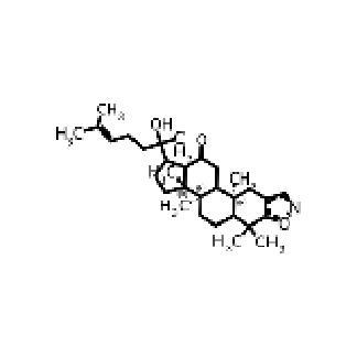 CC(C)=CCCC(C)(O)C1CC[C@]2(C)C1C(=O)CC1[C@@]3(C)Cc4cnoc4C(C)(C)C3CC[C@]12C